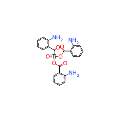 Nc1ccccc1C(=O)[O][Ti](=[O])([O]C(=O)c1ccccc1N)[C](=O)c1ccccc1N